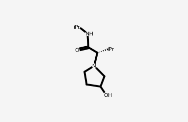 CC(C)NC(=O)[C@H](C(C)C)N1CCC(O)C1